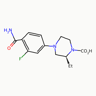 CC[C@H]1CN(c2ccc(C(N)=O)c(F)c2)CCN1C(=O)O